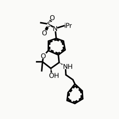 CC(C)N(c1ccc2c(c1)OC(C)(C)[C@H](O)[C@H]2NCCc1ccccc1)S(C)(=O)=O